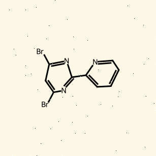 Brc1cc(Br)nc(-c2ccccn2)n1